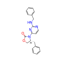 O=C1OC[C@@H](Cc2ccccc2)N1c1ccnc(NCc2ccccc2)n1